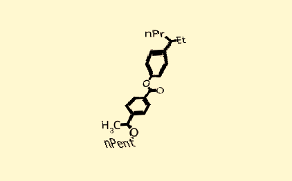 CCCCCOC(C)c1ccc(C(=O)Oc2ccc(C(CC)CCC)cc2)cc1